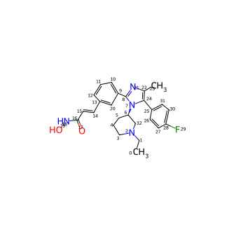 CCN1CCC[C@@H](n2c(-c3cccc(/C=C/C(=O)NO)c3)nc(C)c2-c2ccc(F)cc2)C1